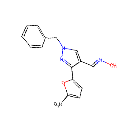 O=[N+]([O-])c1ccc(-c2nn(Cc3ccccc3)cc2C=NO)o1